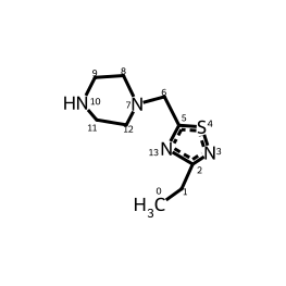 CCc1nsc(CN2CCNCC2)n1